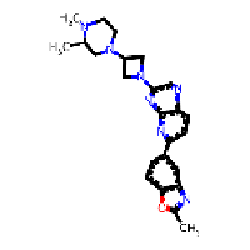 Cc1nc2cc(-c3ccc4ncc(N5CC(N6CCN(C)[C@H](C)C6)C5)nc4n3)ccc2o1